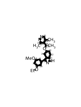 CCOc1cc(OC)cc(-c2n[nH]c3ccc(O[C@@H](C)c4c(C)cnnc4C)cc23)c1